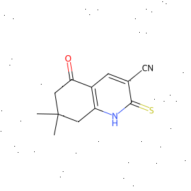 CC1(C)CC(=O)c2cc(C#N)c(=S)[nH]c2C1